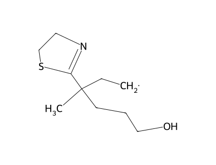 [CH2]CC(C)(CCCO)C1=NCCS1